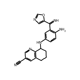 N#Cc1cnc2c(c1)CCCC2Nc1ccc(N)c(C(=N)c2cnco2)c1